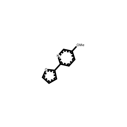 COc1ccc(-c2ccco2)nc1